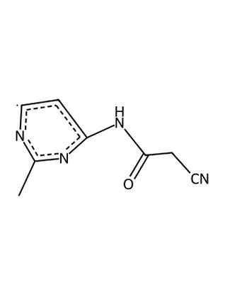 Cc1n[c]cc(NC(=O)CC#N)n1